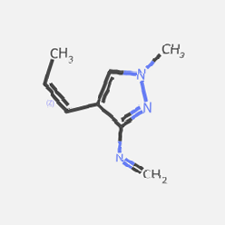 C=Nc1nn(C)cc1/C=C\C